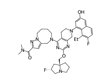 CCc1c(F)ccc2cc(O)cc(N3CCc4c(nc(OC[C@@]56CCCN5C[C@H](F)C6)nc4N4CCCCn5nc(C(=O)N(C)C)cc5C4)C3)c12